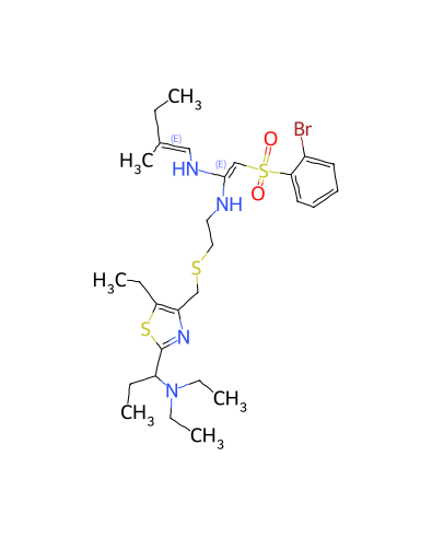 CC/C(C)=C/N/C(=C/S(=O)(=O)c1ccccc1Br)NCCSCc1nc(C(CC)N(CC)CC)sc1CC